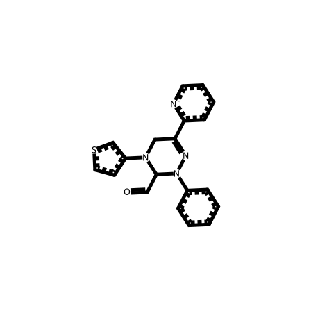 O=CC1N(c2ccsc2)CC(c2ccccn2)=NN1c1ccccc1